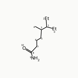 CCC(CC)C(C)CCCC(N)=O